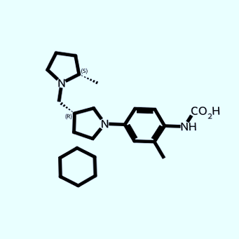 C1CCCCC1.Cc1cc(N2CC[C@H](CN3CCC[C@@H]3C)C2)ccc1NC(=O)O